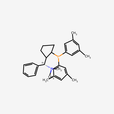 Cc1cc(C)cc(P(c2cc(C)cc(C)c2)C2CCCC2[C@@H](c2ccccc2)N(C)C)c1